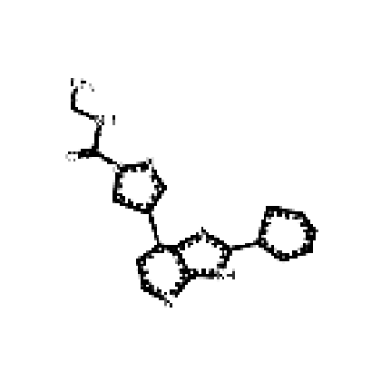 O=C(NCC(F)(F)F)n1cc(-c2ccnc3[nH]c(-c4ccccc4)nc23)cn1